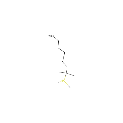 C[SH](C)C(C)(C)CCCCCC(C)(C)C